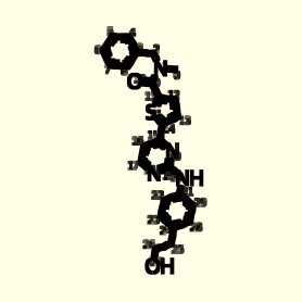 CN(Cc1ccccc1)C(=O)c1ccc(-c2ccnc(Nc3ccc(CCO)cc3)n2)s1